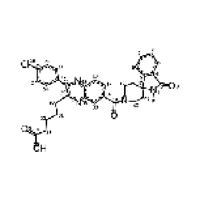 CN1C(=O)c2ccccc2C12CCN(C(=O)c1ccc3nc(-c4ccc(Cl)cc4)c(CCCCC(=O)O)nc3c1)CC2